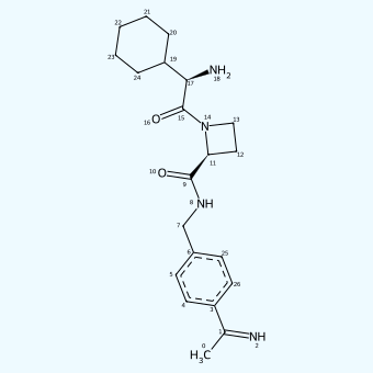 CC(=N)c1ccc(CNC(=O)[C@@H]2CCN2C(=O)[C@H](N)C2CCCCC2)cc1